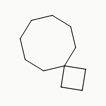 C1CCCC2(CCC1)CCC2